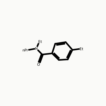 CCCN(CC)C(=O)c1ccc(CC)cc1